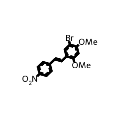 COc1cc(OC)c(C=Cc2ccc([N+](=O)[O-])cc2)cc1Br